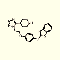 c1ccc2sc(Oc3ccc(OCCn4nnnc4C4CCNCC4)cc3)nc2c1